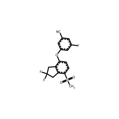 CS(=O)(=O)c1ccc(Oc2cc(F)cc(C#N)c2)c2c1CC(F)(F)C2